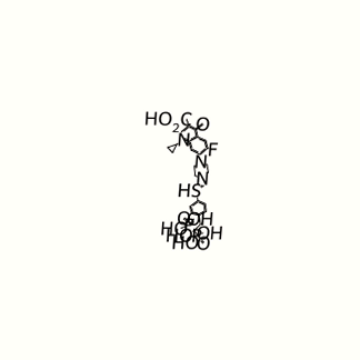 O=C(O)c1cn(C2CC2)c2cc(N3CCN(C=[SH]c4ccc(CC(O)(P(=O)(O)O)P(=O)(O)O)cc4)CC3)c(F)cc2c1=O